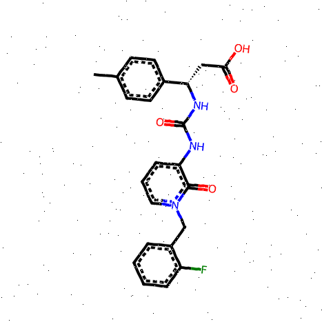 Cc1ccc([C@H](CC(=O)O)NC(=O)Nc2cccn(Cc3ccccc3F)c2=O)cc1